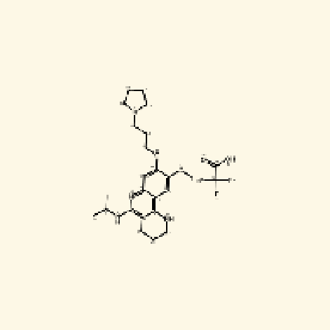 COc1cc2c3c(c(NC(C)C)nc2cc1OCCCN1CCCC1)CCCN3.O=C(O)C(F)(F)F